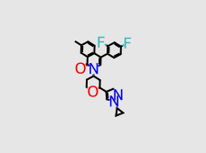 Cc1ccc2c(-c3ccc(F)cc3F)cn(C3CCOC(c4cnn(C5CC5)c4)C3)c(=O)c2c1